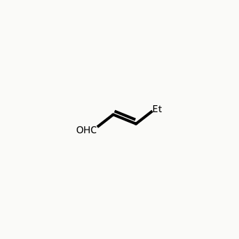 [CH2]CC=CC=O